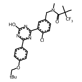 CN(Cc1ccc(Cl)c(-c2nc(O)nc(-c3ccc(OCC(C)(C)C)cc3)n2)c1)C(=O)C(C)(C)C(F)(F)F